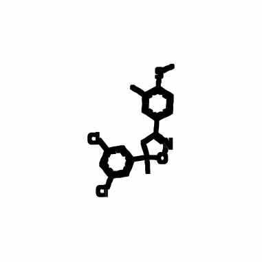 CSc1ccc(C2=NOC(C)(c3cc(Cl)cc(Cl)c3)C2)cc1C